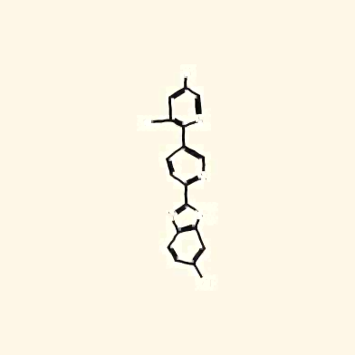 Clc1cnc(-c2ccc(-c3nc4ccc(Cl)cc4[nH]3)nc2)c(Cl)c1